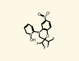 O=[N+]([O-])c1ccc2c(c1)N(C1=CC=CCN1O)CC(C(F)F)(C(F)F)O2